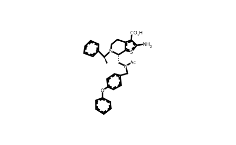 CC(=O)N(Cc1ccc(Oc2ccccc2)cc1)C[C@H]1c2sc(N)c(C(=O)O)c2CCN1[C@@H](C)c1ccccc1